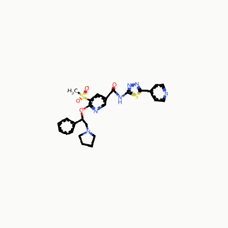 CS(=O)(=O)c1cc(C(=O)Nc2nnc(-c3ccncc3)s2)cnc1OC(CN1CCCC1)c1ccccc1